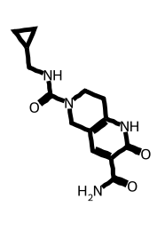 NC(=O)c1cc2c([nH]c1=O)CCN(C(=O)NCC1CC1)C2